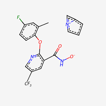 Cc1cc(F)ccc1Oc1ncc(C(F)(F)F)cc1C(=O)N[O-].c1cc2c[n+]-2c1